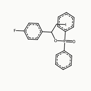 O=P(OC(CI)c1ccc(F)cc1)(c1ccccc1)c1ccccc1